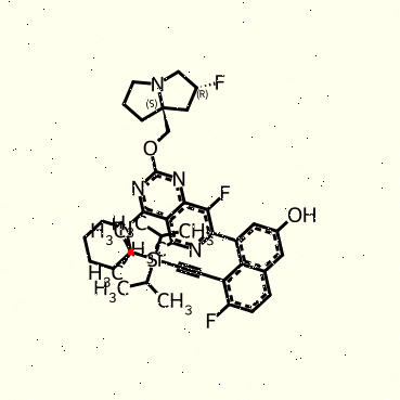 Cc1nc(-c2cc(O)cc3ccc(F)c(C#C[Si](C(C)C)(C(C)C)C(C)C)c23)c(F)c2nc(OC[C@@]34CCCN3C[C@H](F)C4)nc(N3CCCCC3)c12